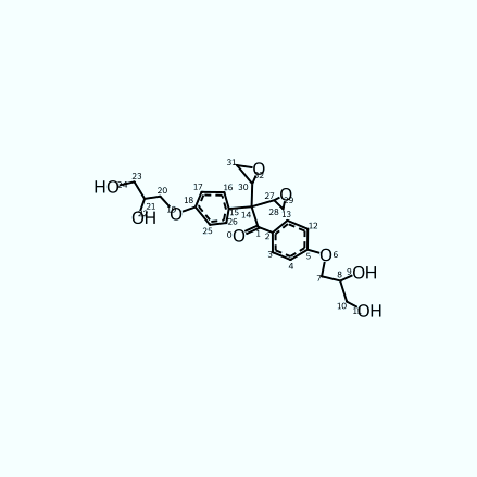 O=C(c1ccc(OCC(O)CO)cc1)C(c1ccc(OCC(O)CO)cc1)(C1CO1)C1CO1